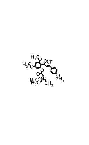 CC[N+](CC)(CC)CC(=O)Oc1cc(OC)cc(OC)c1C(=O)C=Cc1ccc(OC)cc1.[Cl-]